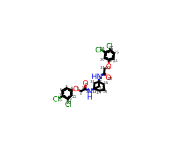 O=C(COc1ccc(Cl)c(Cl)c1)NC12CCCC(NC(=O)COc3ccc(Cl)c(Cl)c3)(C1)C2